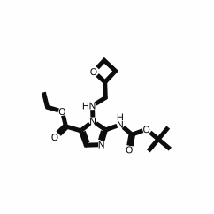 CCOC(=O)c1cnc(NC(=O)OC(C)(C)C)n1NCC1CCO1